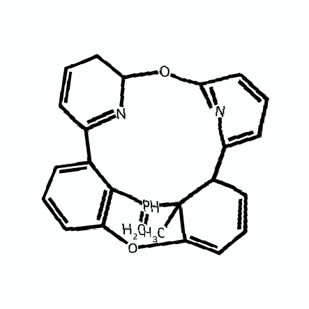 C=[PH]1c2c3cccc2C2=NC(CC=C2)Oc2cccc(n2)C2C=CC=C(O3)C21C